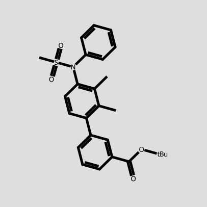 Cc1c(-c2cccc(C(=O)OC(C)(C)C)c2)ccc(N(c2ccccc2)S(C)(=O)=O)c1C